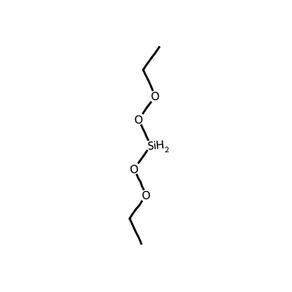 CCOO[SiH2]OOCC